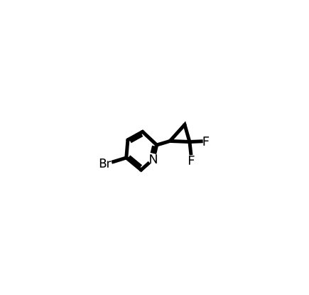 FC1(F)CC1c1ccc(Br)cn1